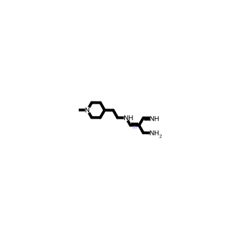 CN1CCC(CCN/C=C(\C=N)CN)CC1